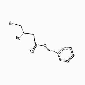 O=C(C[C@H](O)CBr)OCc1ccccc1